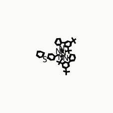 CC(C)(C)c1cc(C(C)(C)C)c2c(c1)c1ccccc1n2-c1nc(-c2ccc(Sc3ccccc3)cc2)nc(-n2c3ccccc3c3cc(C(C)(C)C)cc(C(C)(C)C)c32)n1